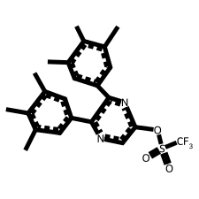 Cc1cc(-c2ncc(OS(=O)(=O)C(F)(F)F)nc2-c2cc(C)c(C)c(C)c2)cc(C)c1C